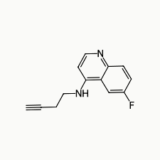 C#CCCNc1ccnc2ccc(F)cc12